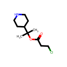 CC(C)(OC(=O)CCCl)C1CCNCC1